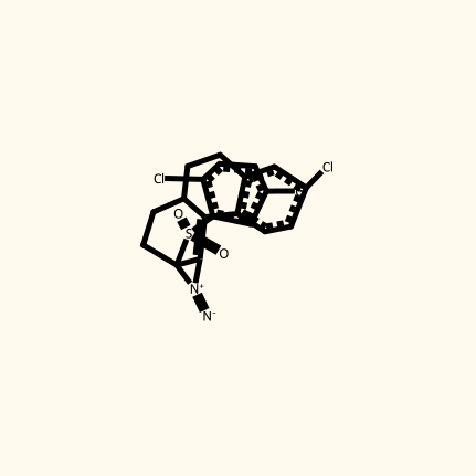 [N-]=[N+]1C2=C3c4ccc(Cl)cc4CCC3CCC21S(=O)(=O)c1cc(Cl)ccc1Cl